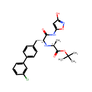 C[C@H](N[C@H](Cc1ccc(-c2cccc(Cl)c2)cc1)C(=O)Nc1cc(O)no1)C(=O)OC(C)(C)C